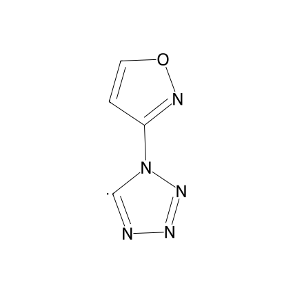 [c]1nnnn1-c1ccon1